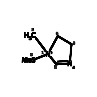 CS[N+]1(C)C=NCC1